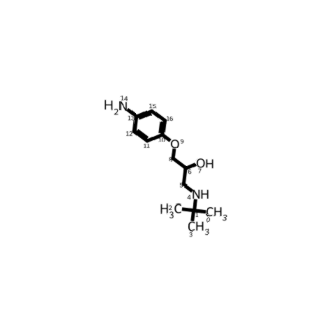 CC(C)(C)NCC(O)COc1ccc(N)cc1